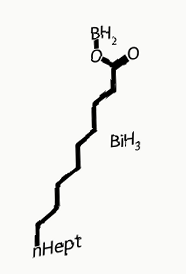 BOC(=O)CCCCCCCCCCCCCCC.[BiH3]